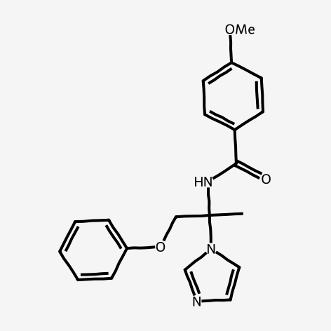 COc1ccc(C(=O)NC(C)(COc2ccccc2)n2ccnc2)cc1